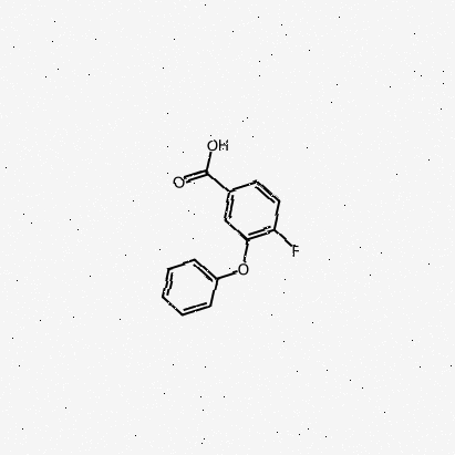 O=C(O)c1ccc(F)c(Oc2ccccc2)c1